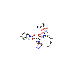 CC1(S(=O)(=O)NC(=O)[C@@]23CC2/C=C\CCCCC[C@H](N)C(=O)N2C[C@H](OC(=O)N4Cc5cccc(F)c5C4)C[C@H]2C(=O)N3)CC1